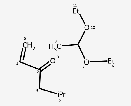 C=CC(=O)CC(C)C.CCOC(C)OCC